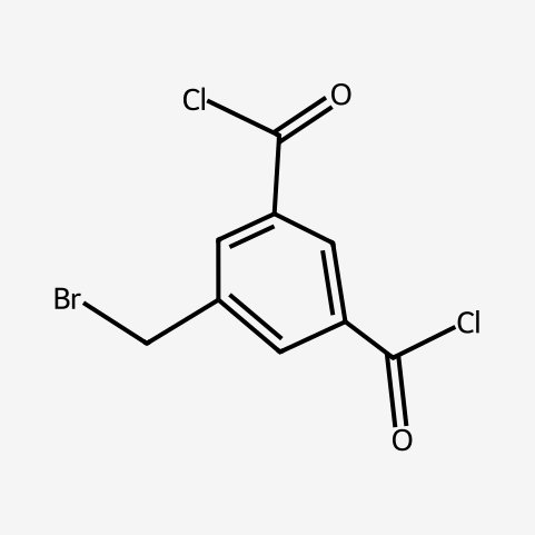 O=C(Cl)c1cc(CBr)cc(C(=O)Cl)c1